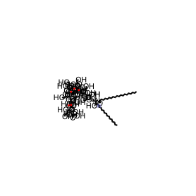 CCCCCCCCCCCCC/C=C/[C@@H](O)[C@H](CO[C@@H]1OC(CO)[C@@H](O[C@@H]2OC(CO)[C@H](O[C@@H]3OC(CO)[C@H](O)[C@H](O[C@@H]4OC(CO)[C@H](O)[C@H](O[C@@H]5OC(CO)[C@@H](O[C@@H]6OC(CO)[C@H](O)[C@H](O[C@]7(C(=O)O)CC(O)[C@@H](NC(=O)CO)C([C@H](O)[C@H](O)CO)O7)C6O)[C@H](O)C5NC(C)=O)C4O)C3NC(C)=O)[C@H](O)C2O)[C@H](O)C1O)NC(=O)CCCCCCCCCCCCCCCCCCC